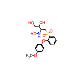 O=S(=O)(CC(NO)C(O)CO)c1ccccc1Oc1ccc(OC(F)(F)F)cc1